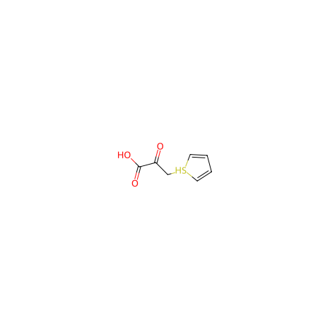 O=C(O)C(=O)C[SH]1C=CC=C1